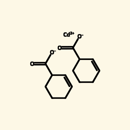 O=C([O-])C1C=CCCC1.O=C([O-])C1C=CCCC1.[Cd+2]